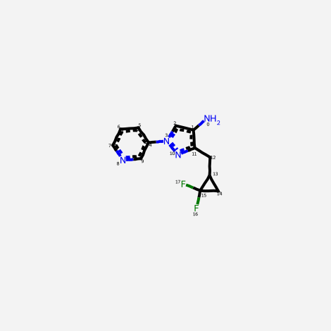 Nc1cn(-c2cccnc2)nc1CC1CC1(F)F